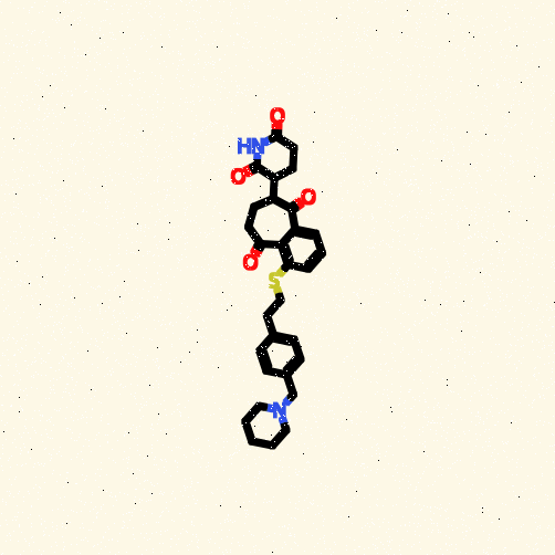 O=C1CCC(C2CCC(=O)c3c(SCCc4ccc(CN5CCCCC5)cc4)cccc3C2=O)C(=O)N1